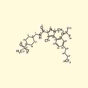 Cn1nc(C(=O)NCC2CCC(S(C)(=O)=O)CC2)c(Cl)c1-c1ccc(CCCC(F)(F)F)cc1OC(F)F